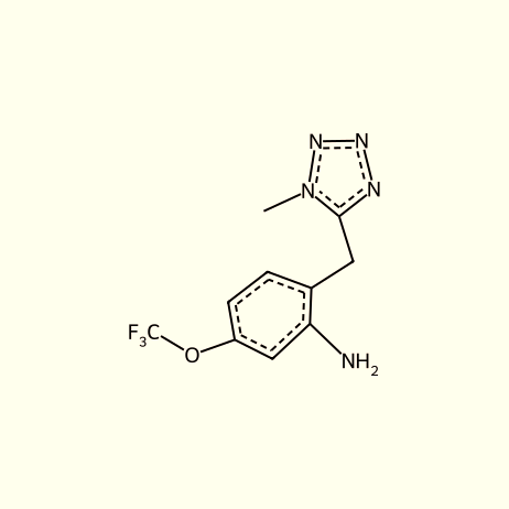 Cn1nnnc1Cc1ccc(OC(F)(F)F)cc1N